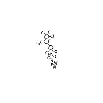 CN(C[PH](F)(F)F)C(=O)C1(NC(=O)c2ccc(/C(F)=C/C(c3cc(Cl)c(Cl)c(Cl)c3)C(F)(F)F)cc2Cl)CC1